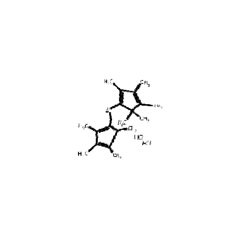 CC1=C(C)C(C)[C]([Zr][C]2=C(C)C(C)=C(C)C2(C)C)=C1C.Cl.Cl